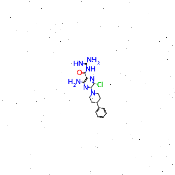 N=C(N)NC(=O)c1nc(Cl)c(N2CCC(c3ccccc3)CC2)nc1N